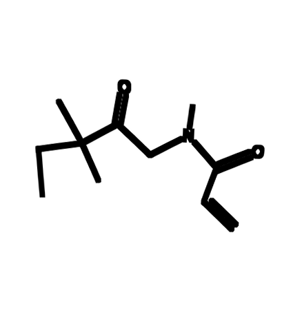 C=CC(=O)N(C)CC(=O)C(C)(C)CC